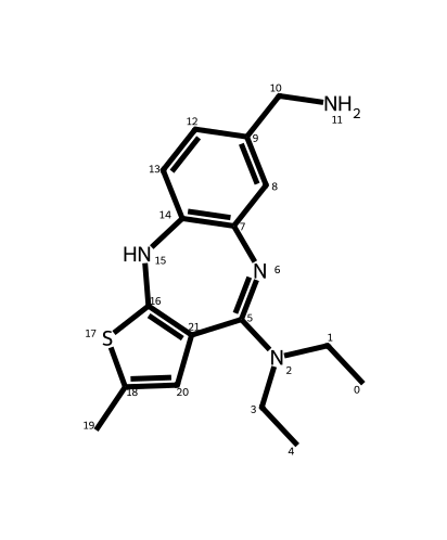 CCN(CC)C1=Nc2cc(CN)ccc2Nc2sc(C)cc21